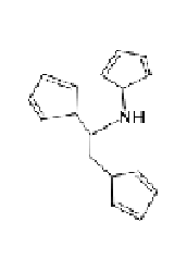 C1=CC(CC(NC2C=CC=C2)C2C=CC=C2)C=C1